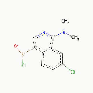 CN(C)c1ncc([S+]([O-])Cl)c2ccc(Cl)cc12